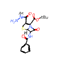 CC(=O)N(N)C(=O)C1=C(C(=O)OC(C)(C)C)N2C(=O)C(NC(=O)c3ccccc3)[C@H]2SC1